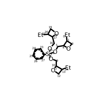 CCC1COC1CO[Si](OCC1OCC1CC)(OCC1OCC1CC)c1ccccc1